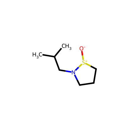 CC(C)CN1CCC[S+]1[O-]